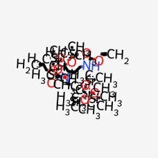 C=CCOC(=O)N(CCC[Si](O[Si](C)(C)C)(O[Si](C)(C)C)O[Si](C)(C)C)C(CCNC(=O)OC=C)[Si](O[Si](C)(C)C)(O[Si](C)(C)C)O[Si](C)(C)C